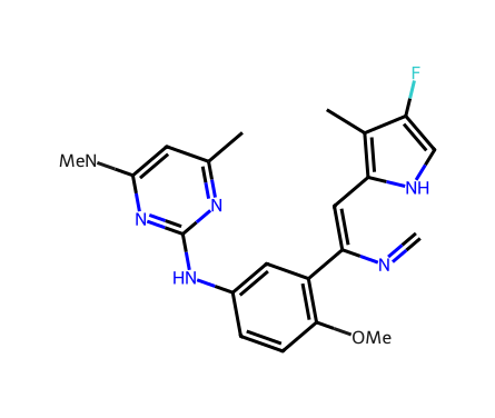 C=N/C(=C\c1[nH]cc(F)c1C)c1cc(Nc2nc(C)cc(NC)n2)ccc1OC